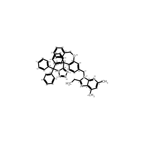 CCc1nc2c(C)cc(C)nc2n1Cc1ccc2c(c1)OCc1ccccc1C2(C)c1nnnn1C(c1ccccc1)(c1ccccc1)c1ccccc1